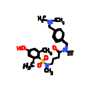 CCN(Cc1ccc(CN(C)C)cc1)C(=O)CCCN(C)S(=O)(=O)c1c(C)cc(O)cc1C